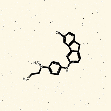 CCCN(C)c1ccc(Nc2ccc3c(c2)-c2cc(Cl)ccc2C3)cc1